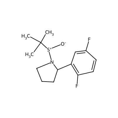 CC(C)(C)[S+]([O-])N1CCCC1c1cc(F)ccc1F